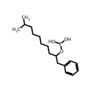 CC(C)CCCCCCC(Cc1ccccc1)OP(O)O